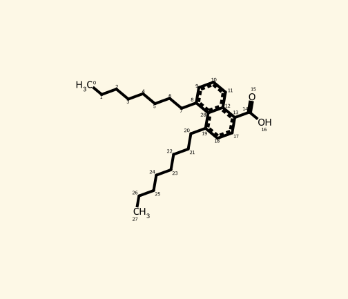 CCCCCCCCc1cccc2c(C(=O)O)ccc(CCCCCCCC)c12